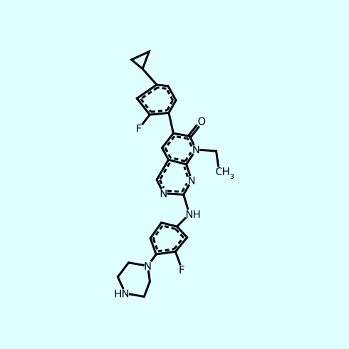 CCn1c(=O)c(-c2ccc(C3CC3)cc2F)cc2cnc(Nc3ccc(N4CCNCC4)c(F)c3)nc21